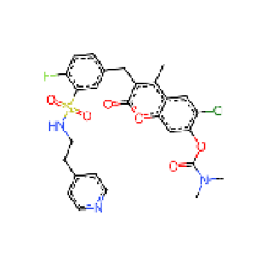 Cc1c(Cc2ccc(F)c(S(=O)(=O)NCCc3ccncc3)c2)c(=O)oc2cc(OC(=O)N(C)C)c(Cl)cc12